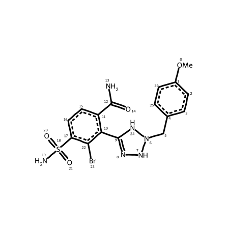 COc1ccc(CN2NN=C(c3c(C(N)=O)ccc(S(N)(=O)=O)c3Br)N2)cc1